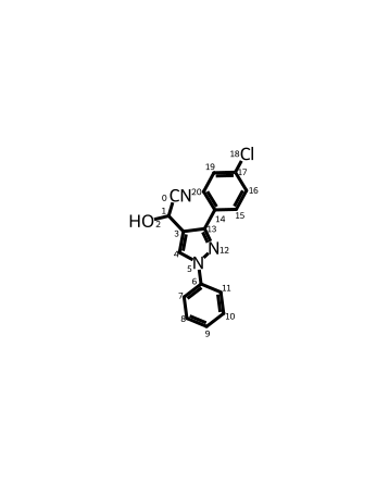 N#CC(O)c1cn(-c2ccccc2)nc1-c1ccc(Cl)cc1